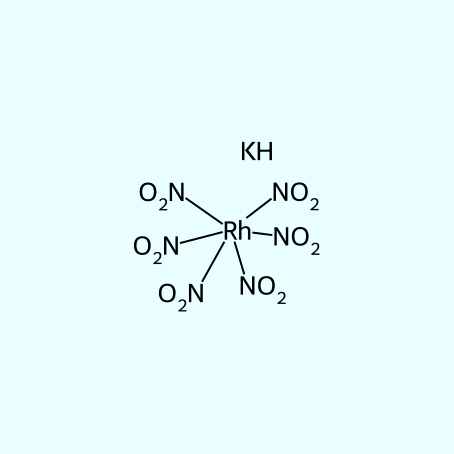 O=[N+]([O-])[Rh]([N+](=O)[O-])([N+](=O)[O-])([N+](=O)[O-])([N+](=O)[O-])[N+](=O)[O-].[KH]